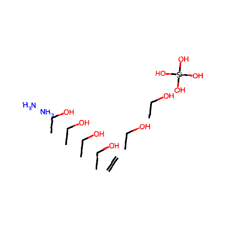 C=C.CCO.CCO.CCO.CCO.CCO.CCO.N.N.O[Si](O)(O)O